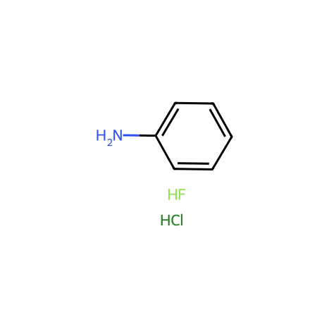 Cl.F.Nc1ccccc1